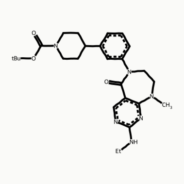 CCNc1ncc2c(n1)N(C)CCN(c1cccc(C3CCN(C(=O)OC(C)(C)C)CC3)c1)C2=O